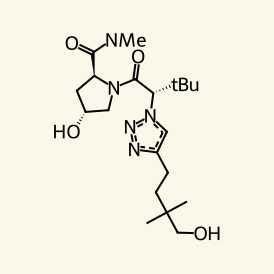 CNC(=O)[C@@H]1C[C@@H](O)CN1C(=O)[C@@H](n1cc(CCC(C)(C)CO)nn1)C(C)(C)C